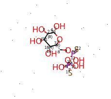 O[C@@H]1[C@@H](O)[C@H](O)O[C@H](COP(O)(=S)OP(O)(O)=S)[C@@H]1O